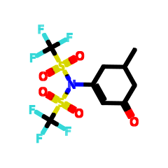 CC1CC(=O)C=C(N(S(=O)(=O)C(F)(F)F)S(=O)(=O)C(F)(F)F)C1